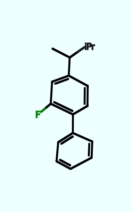 CC(C)C(C)c1ccc(-c2ccccc2)c(F)c1